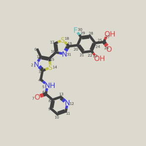 Cc1nc(CNC(=O)c2cccnc2)sc1-c1csc(-c2cc(O)c(C(=O)O)cc2F)n1